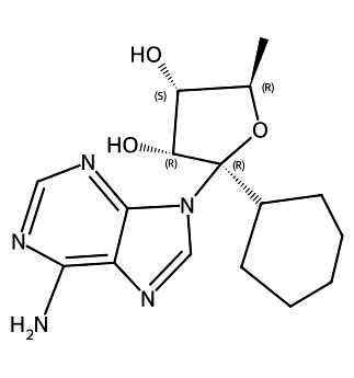 C[C@H]1O[C@@](C2CCCCC2)(n2cnc3c(N)ncnc32)[C@H](O)[C@@H]1O